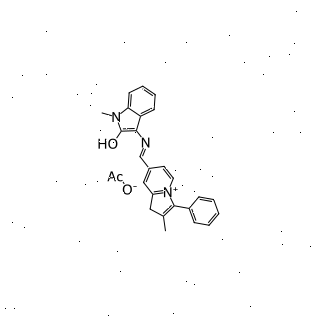 CC(=O)[O-].CC1=C(c2ccccc2)[n+]2ccc(/C=N/c3c(O)n(C)c4ccccc34)cc2C1